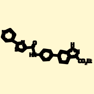 CCOC(=O)c1n[nH]c2cc(-c3ccc(NC(=O)c4csc(-c5ccncc5)n4)cc3)ccc12